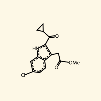 COC(=O)Cc1c(C(=O)C2CC2)[nH]c2cc(Cl)ccc12